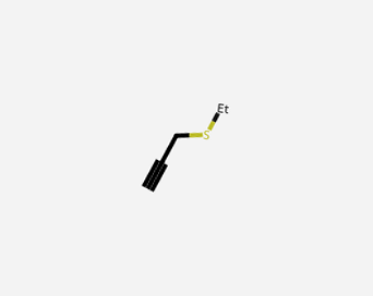 C#CCSCC